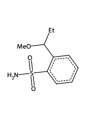 CCC(OC)c1ccccc1S(N)(=O)=O